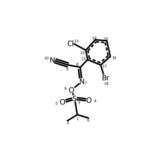 CC(C)S(=O)(=O)ON=C(C#N)c1c(Cl)cccc1Br